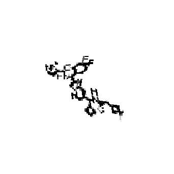 Cn1nccc1C(=O)N[C@H](c1cn2ncc([C@H](NC(=O)CC3CC(F)(F)C3)C3CCC3)cc2n1)C1CCC(F)(F)CC1